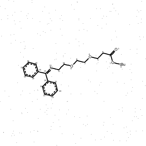 CC(C)(C)OC(=O)CCOCCOCCN=C(c1ccccc1)c1ccccc1